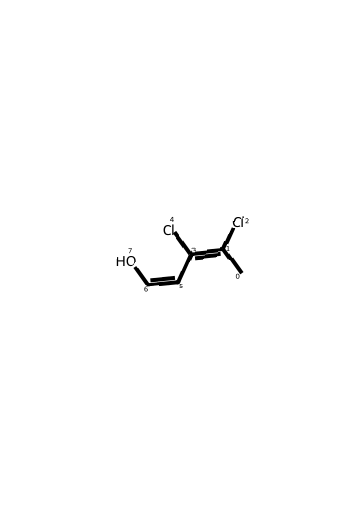 C/C(Cl)=C(Cl)\C=C/O